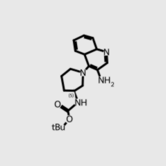 CC(C)(C)OC(=O)N[C@H]1CCCN(C2=C(N)C=NC3C=CC=CC23)C1